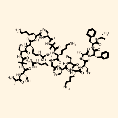 CC(C)C[C@H](NC(=O)[C@H](CC(C)C)NC(=O)[C@H](CCCNC(=N)N)NC(=O)[C@H](CCCCN)NC(=O)C(C)(C)NC(=O)[C@H](CC(C)C)NC(=O)[C@H](CCCCN)NC(=O)[C@H](CCCNC(=N)N)NC(=O)[C@H](CC(C)C)NC(=O)C(C)(C)NC(=O)[C@H](CO)NC(=O)[C@H](C)N)C(=O)N[C@@H](CCCCN)C(=O)N[C@@H](CC(C)C)C(=O)N[C@H](C(=O)N[C@@H](Cc1ccccc1)C(=O)N[C@@H](Cc1ccccc1)C(=O)N[C@@H](C)C(=O)O)C(C)C